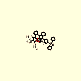 Bc1c(B)c(B)c(-c2ccccc2-c2c3ccccc3c(-c3ccc(-n4c(-c5ccccc5)nc5ccccc54)cc3)c3ccccc23)c(B)c1B